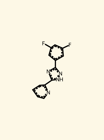 Fc1cc(F)cc(-c2n[nH]c(-c3ccccn3)n2)c1